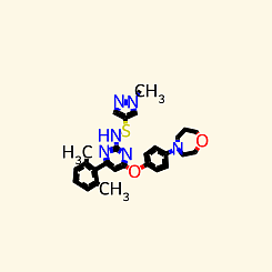 Cc1cccc(C)c1-c1cc(Oc2ccc(N3CCCOCC3)cc2)nc(NSc2cnn(C)c2)n1